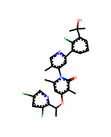 Cc1cnc(-c2cccc(C(C)(C)O)c2F)cc1-n1c(C)cc(OC(C)c2ncc(F)cc2F)c(C)c1=O